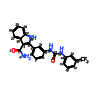 NC(=O)c1c(-c2cccc(NC(=O)Nc3cccc(C(F)(F)F)c3)c2)[nH]c2ccccc12